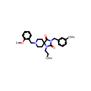 CCOc1ccccc1CN1CCC2(CC1)C(=O)N(Cc1cccc(OC)c1)C(=O)N2CCOC